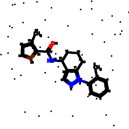 Cc1ccccc1-n1ncc2c1CCCC2NC(=O)c1sccc1C